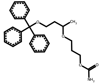 CC(CCOC(c1ccccc1)(c1ccccc1)c1ccccc1)OCCCOC(N)=O